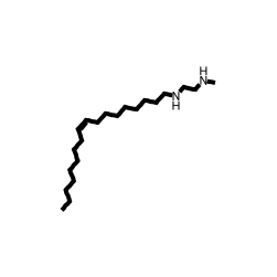 CCCCCCCC/C=C\CCCCCCCCNCCNC